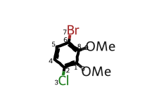 COc1c(Cl)ccc(Br)c1OC